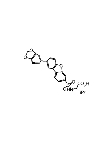 CC(C)[C@H](NS(=O)(=O)c1ccc2c(c1)oc1ccc(-c3ccc4c(c3)OCO4)cc12)C(=O)O